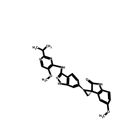 COc1ccc2c(c1)[C@]1(C[C@H]1c1ccc3c(Nc4nc(C(C)C)ncc4OC)n[nH]c3c1)C(=O)N2